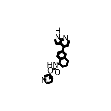 O=C(NC1CCCc2cc(-c3ccnc4[nH]ccc34)ccc21)OC1CN2CCC1CC2